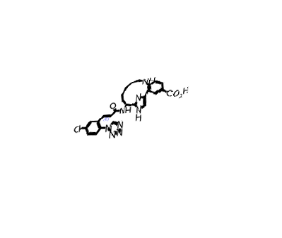 O=C(/C=C/c1cc(Cl)ccc1-n1cnnn1)NC1CCCCCNc2ccc(C(=O)O)cc2-c2c[nH]c1n2